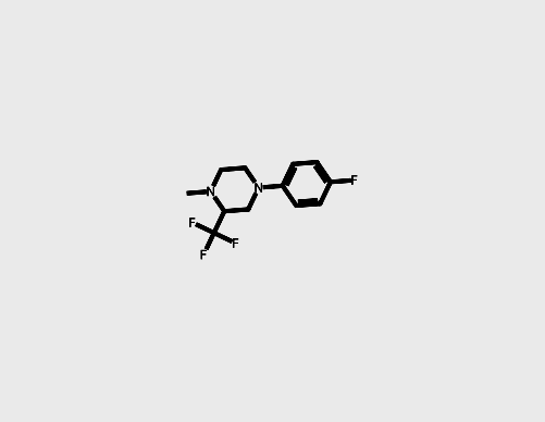 CN1CCN(c2ccc(F)cc2)CC1C(F)(F)F